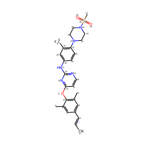 Cc1cc(/C=C/C#N)cc(C)c1Oc1ccnc(Nc2ccc(N3CCN(S(C)(=O)=O)CC3)c(C(F)(F)F)c2)n1